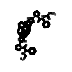 CCN[C@H](C(=O)N1CCC[C@H]1c1nc2cc(-c3cc4ccc3CCC3=CC=C(CC4)[C@H](c4ccc5[nH]c([C@@H]6CCCN6C(=O)[C@@H](NC(=O)OC)c6ccccc6)nc5c4)C3)ccc2[nH]1)c1ccccc1